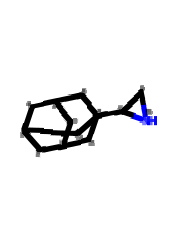 C1C2CC3CC1CC(C1CN1)(C2)C3